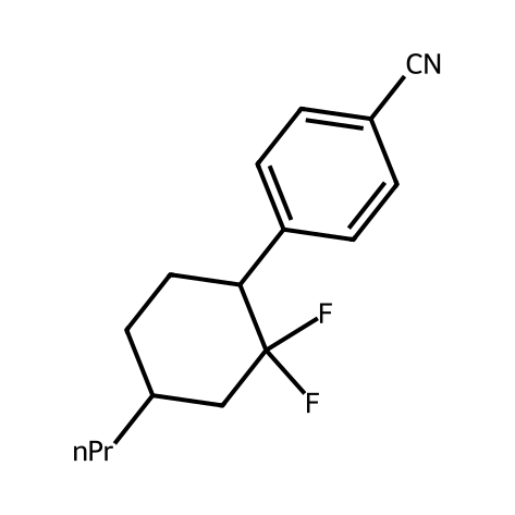 CCCC1CCC(c2ccc(C#N)cc2)C(F)(F)C1